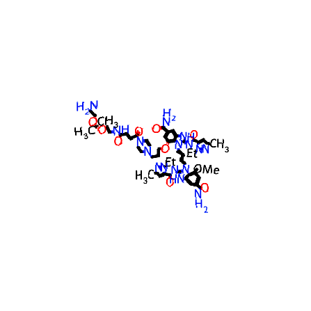 CCn1nc(C)cc1C(=O)/N=c1\[nH]c2cc(C(N)=O)cc(OC)c2n1C/C=C/Cn1/c(=N/C(=O)c2cc(C)nn2CC)[nH]c2cc(C(N)=O)cc(OCCCN3CCN(C(=O)CCC(=O)NCCOC(C)(C)OCCN)CC3)c21